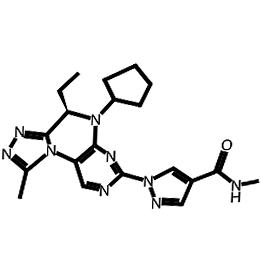 CC[C@@H]1c2nnc(C)n2-c2cnc(-n3cc(C(=O)NC)cn3)nc2N1C1CCCC1